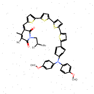 CCCCC(CC)CN1C(=O)C(C#N)=C(C)/C(=C/c2ccc(-c3ccc(-c4ccc(-c5ccc(-c6ccc(N(c7ccc(OC=O)cc7)c7ccc(OC=O)cc7)cc6)s5)s4)s3)s2)C1=O